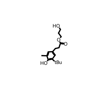 Cc1cc(CCC(=O)OCCCO)cc(C(C)(C)C)c1O